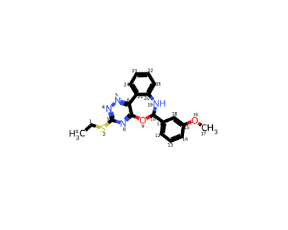 CCSc1nnc2c(n1)OC(c1cccc(OC)c1)Nc1ccccc1-2